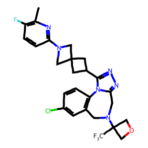 Cc1nc(N2CC3(CC(c4nnc5n4-c4ccc(Cl)cc4CN(C4(C(F)(F)F)COC4)C5)C3)C2)ccc1F